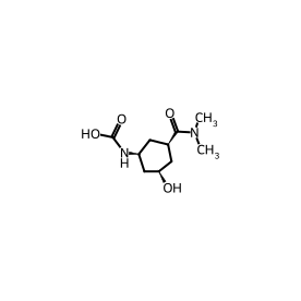 CN(C)C(=O)[C@H]1C[C@@H](O)C[C@@H](NC(=O)O)C1